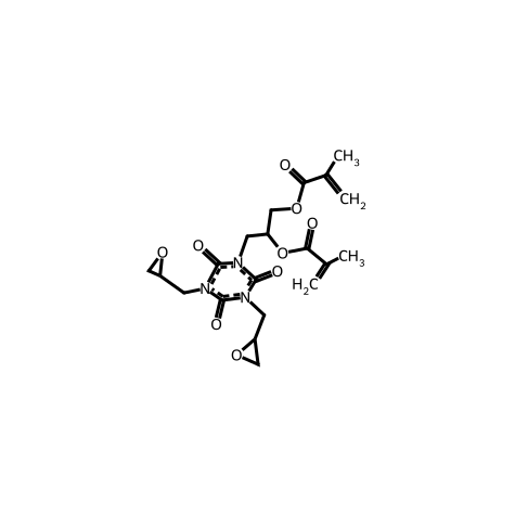 C=C(C)C(=O)OCC(Cn1c(=O)n(CC2CO2)c(=O)n(CC2CO2)c1=O)OC(=O)C(=C)C